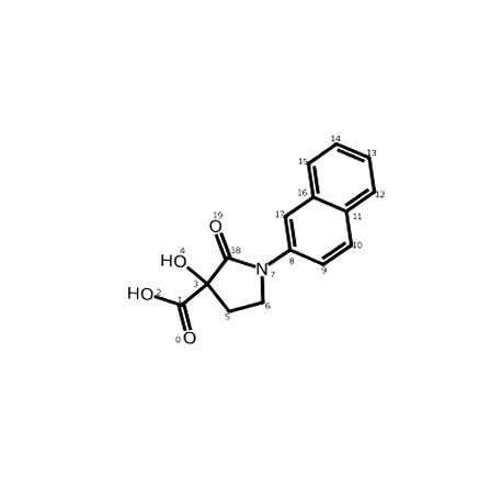 O=C(O)C1(O)CCN(c2ccc3ccccc3c2)C1=O